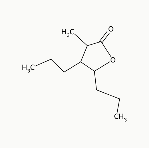 CCCC1OC(=O)C(C)C1CCC